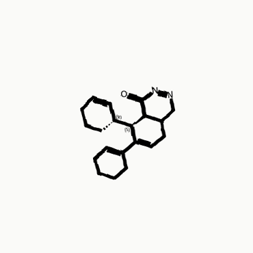 O=C1N=NCC2CC=C(C3=CCCCC3)[C@@H]([C@H]3C=CCCC3)C12